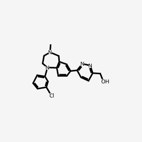 CN1CCN(c2cccc(Cl)c2)c2ccc(-c3ccc(CO)nn3)cc2C1